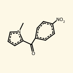 Cn1cccc1C(=O)c1ccc([N+](=O)[O-])cc1